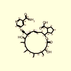 CC1CC(C)CC(C)C(O)/C(C#N)=C\C=C\CC(C2CCCC2C(=O)O)OC(=O)CC(O)C(C)C1.NC(=O)c1cccnc1